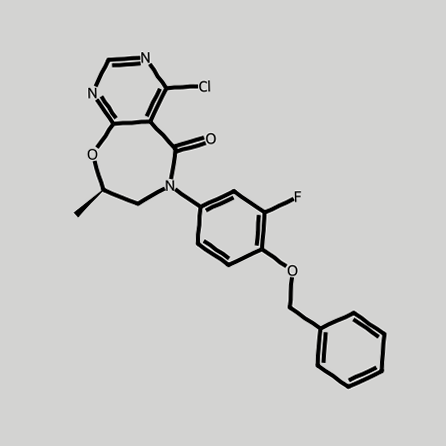 C[C@@H]1CN(c2ccc(OCc3ccccc3)c(F)c2)C(=O)c2c(Cl)ncnc2O1